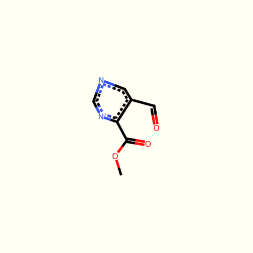 COC(=O)c1ncncc1C=O